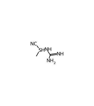 C[SH](C#N)NC(=N)N